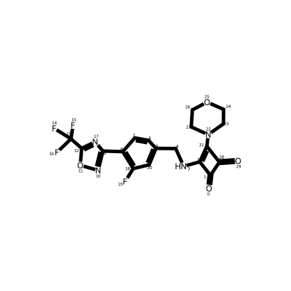 O=c1c(NCc2ccc(-c3noc(C(F)(F)F)n3)c(F)c2)c(N2CCOCC2)c1=O